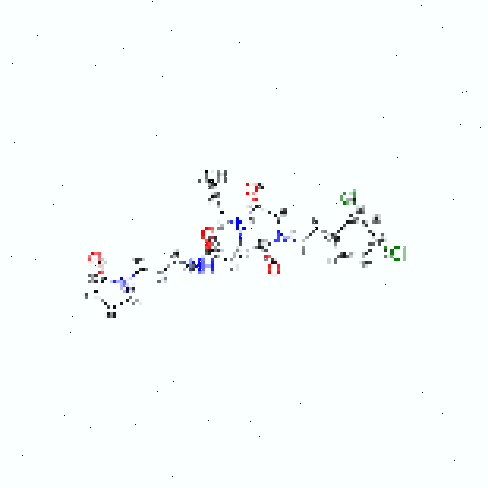 C#CCN1C(=O)CN(CCc2ccc(Cl)cc2Cl)C(=O)C1CC(=O)NCCCN1CCCC1=O